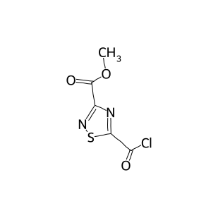 COC(=O)c1nsc(C(=O)Cl)n1